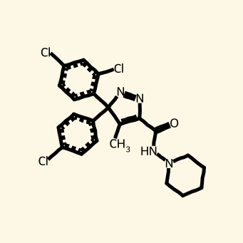 CC1=C(C(=O)NN2CCCCC2)N=NC1(c1ccc(Cl)cc1)c1ccc(Cl)cc1Cl